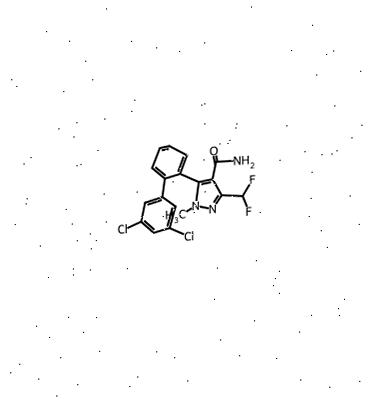 Cn1nc(C(F)F)c(C(N)=O)c1-c1ccccc1-c1cc(Cl)cc(Cl)c1